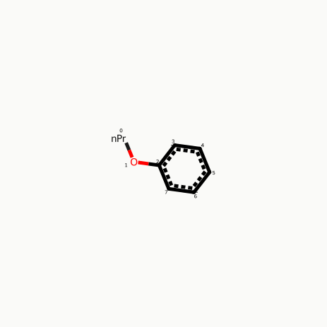 CCCOc1[c]cc[c]c1